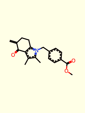 C=C1CCc2c(c(C)c(C)n2Cc2ccc(C(=O)OC)cc2)C1=O